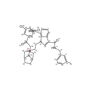 COc1cccc2c(C(=O)NCc3cccc(C)c3)cn(CCCN3C4CCC3CN(CC(=O)c3cc(Cl)cc(Cl)c3)C4)c12